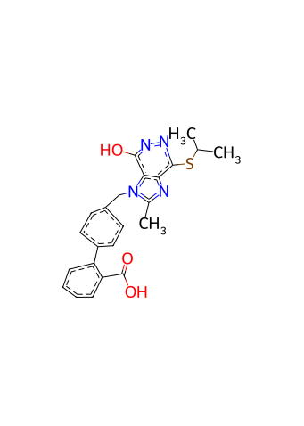 Cc1nc2c(SC(C)C)nnc(O)c2n1Cc1ccc(-c2ccccc2C(=O)O)cc1